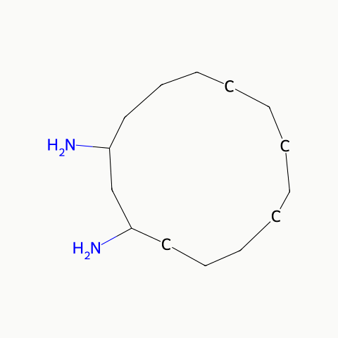 NC1CCCCCCCCCCCC(N)C1